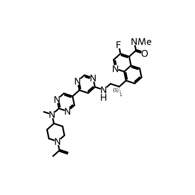 C=C(C)N1CCC(N(C)c2ncc(-c3cc(NC[C@@H](C)c4cccc5c(C(=O)NC)c(F)cnc45)ncn3)cn2)CC1